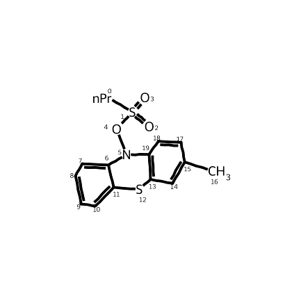 CCCS(=O)(=O)ON1c2ccccc2Sc2cc(C)ccc21